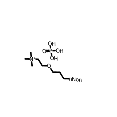 CCCCCCCCCCCCOCC[N+](C)(C)C.O=P(O)(O)O